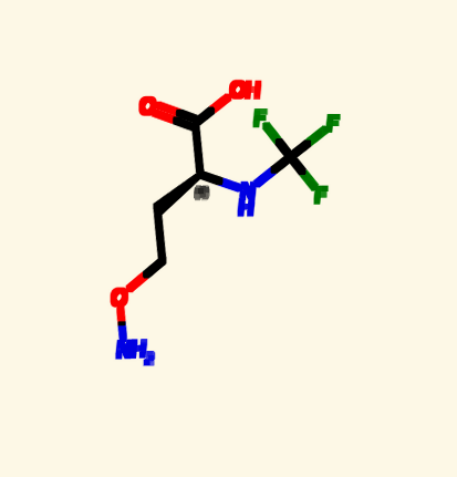 NOCC[C@H](NC(F)(F)F)C(=O)O